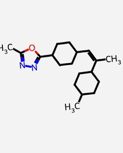 CC(=CC1CCC(c2nnc(C)o2)CC1)C1CCC(C)CC1